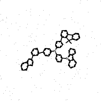 CC1(C)c2ccccc2-c2cccc(-c3ccc(N(c4ccc(-c5cccc(-c6ccc7ccccc7c6)c5)cc4)c4cccc(-n5c6ccccc6c6ccccc65)c4)cc3)c21